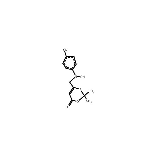 CC1(C)OC(=O)C=C(CN(O)c2ccc(C#N)cc2)O1